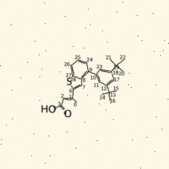 C/C(=C\C(=O)O)c1cc2c(-c3cc(C(C)(C)C)cc(C(C)(C)C)c3)cccc2s1